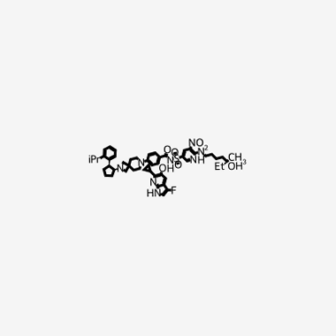 CC[C@@](C)(O)CCCCNc1ncc(S(=O)(=O)NC(=O)c2ccc(N3CCC4(CC3)CN([C@H]3CCC[C@H]3c3ccccc3C(C)C)C4)cc2Oc2cc3c(F)c[nH]c3nc2C2CC2)cc1[N+](=O)[O-]